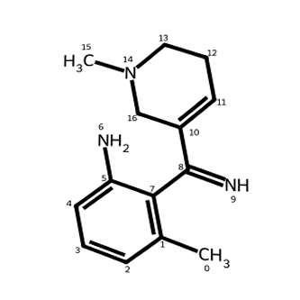 Cc1cccc(N)c1C(=N)C1=CCCN(C)C1